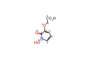 O=C(O)COc1cccn(O)c1=O